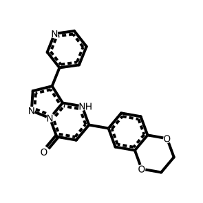 O=c1cc(-c2ccc3c(c2)OCCO3)[nH]c2c(-c3cccnc3)cnn12